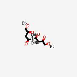 CCOCC(=O)C[C](=O)[Ti]([O]CC(C)C)([O]CC(C)C)[C](=O)CC(=O)COCC